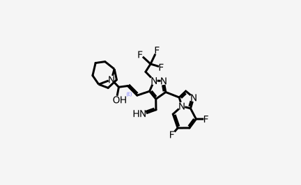 N=Cc1c(-c2cnc3c(F)cc(F)cn23)nn(CC(F)(F)F)c1/C=C/C(O)N1C2CCCC1CC2